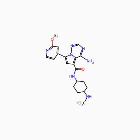 CCOc1cc(-c2cc(C(=O)NC3CCC(NC(=O)O)CC3)c3c(N)ncnn23)ccn1